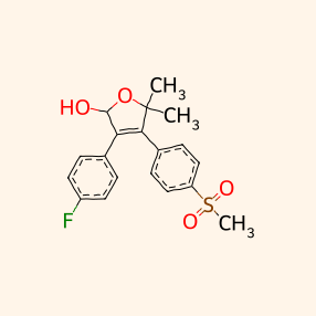 CC1(C)OC(O)C(c2ccc(F)cc2)=C1c1ccc(S(C)(=O)=O)cc1